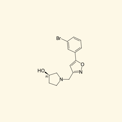 O[C@@H]1CCN(Cc2cc(-c3cccc(Br)c3)on2)C1